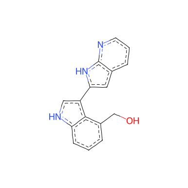 OCc1cccc2[nH]cc(-c3cc4cccnc4[nH]3)c12